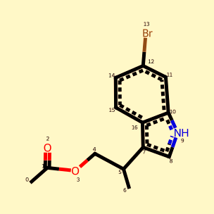 CC(=O)OCC(C)c1c[nH]c2cc(Br)ccc12